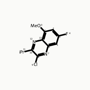 COc1cc(F)cc2nc(Cl)c(C(C)C)nc12